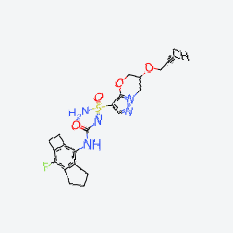 C#CCOC1COc2c(S(N)(=O)=NC(=O)Nc3c4c(c(F)c5c3CC5)CCC4)cnn2C1